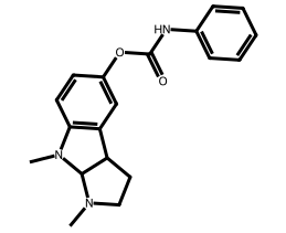 CN1CCC2c3cc(OC(=O)Nc4ccccc4)ccc3N(C)C21